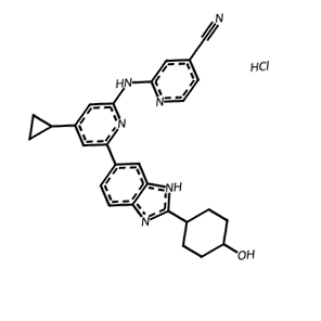 Cl.N#Cc1ccnc(Nc2cc(C3CC3)cc(-c3ccc4nc(C5CCC(O)CC5)[nH]c4c3)n2)c1